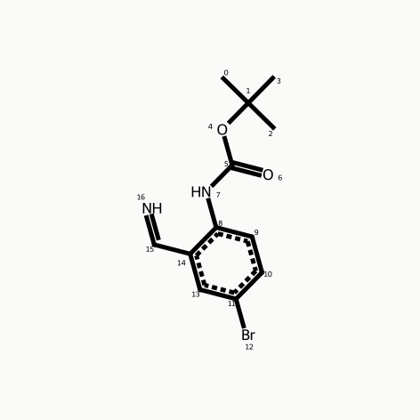 CC(C)(C)OC(=O)Nc1ccc(Br)cc1C=N